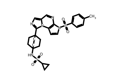 Cc1ccc(S(=O)(=O)n2ccc3c2ncc2cnc(C45CCC(NS(=O)(=O)C6CC6)(CC4)CC5)n23)cc1